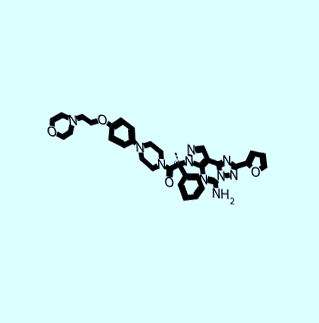 C[C@@](C(=O)N1CCN(c2ccc(OCCN3CCOCC3)cc2)CC1)(c1ccccc1)n1ncc2c1nc(N)n1nc(-c3ccco3)nc21